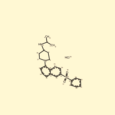 CC(C)NC1CCN(c2cccc3cc(S(=O)(=O)c4ccccc4)cnc23)CC1.Cl